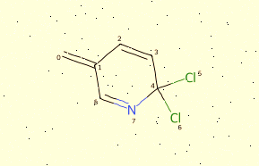 C=C1C=CC(Cl)(Cl)N=C1